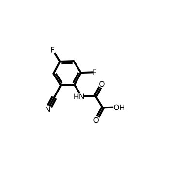 N#Cc1cc(F)cc(F)c1NC(=O)C(=O)O